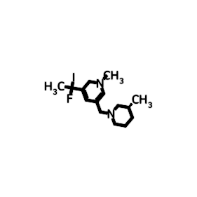 C[C@H]1CCCN(CC2=CN(C)CC(C(C)(F)I)=C2)C1